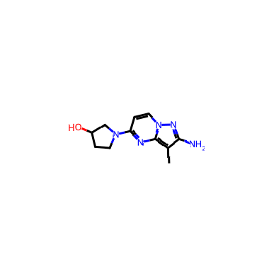 Cc1c(N)nn2ccc(N3CCC(O)C3)nc12